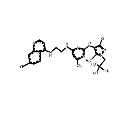 Cc1cc(NCCNc2ccnc3cc(Cl)ccc23)nc(Nc2c(Cl)nn(CC(C)(C)O)c2C)n1